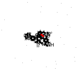 COC[C@@H]1Cc2ccccc2CN1C(=O)c1cc2c(cc1-c1cc(C(=O)N(c3ccc(O[Si](C(C)C)(C(C)C)C(C)C)cc3)c3cc(C#N)n(C)c3C)c(C)n1C)CCNC2